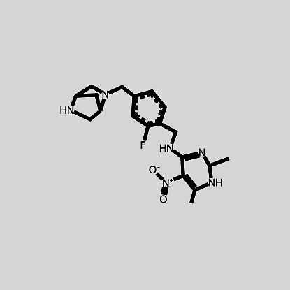 CC1=C([N+](=O)[O-])C(NCc2ccc(CN3CC4CC3CN4)cc2F)=NC(C)N1